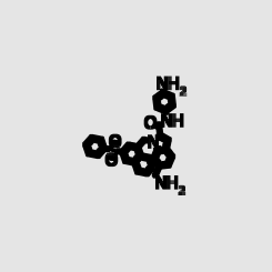 NCc1ccc2cc(C(=O)Nc3ccc(N)cc3)n(Cc3cc(S(=O)(=O)c4ccccc4)cc4ccccc34)c2c1